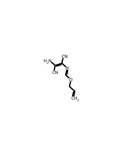 C=CCOC=NC(C#N)=C(N)C#N